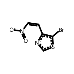 O=[N+]([O-])/C=C\c1ncsc1Br